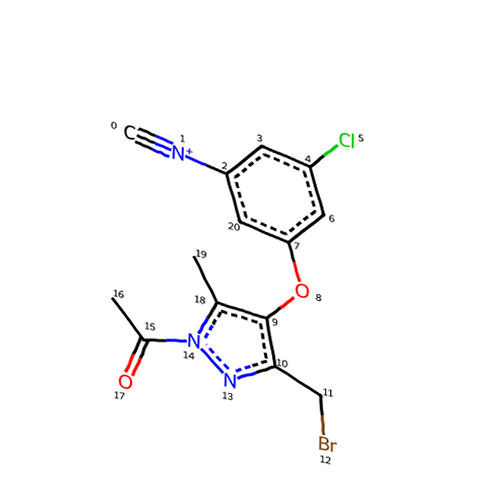 [C-]#[N+]c1cc(Cl)cc(Oc2c(CBr)nn(C(C)=O)c2C)c1